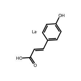 O=C(O)C=Cc1ccc(O)cc1.[La]